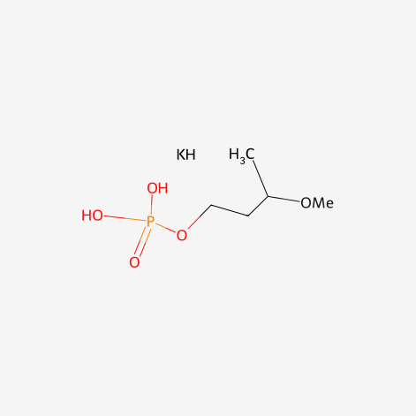 COC(C)CCOP(=O)(O)O.[KH]